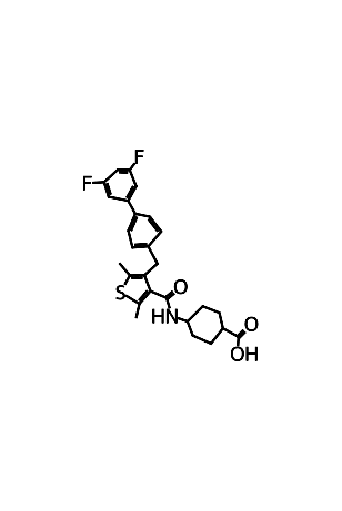 Cc1sc(C)c(C(=O)NC2CCC(C(=O)O)CC2)c1Cc1ccc(-c2cc(F)cc(F)c2)cc1